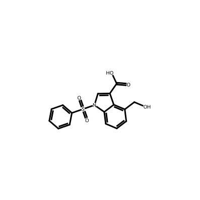 O=C(O)c1cn(S(=O)(=O)c2ccccc2)c2cccc(CO)c12